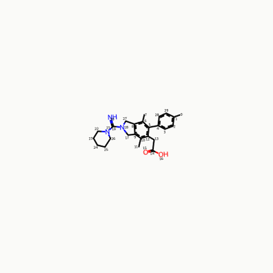 Cc1ccc(-c2c(C)c3c(c(C)c2CC(=O)O)CN(C(=N)N2CCCCC2)C3)cc1